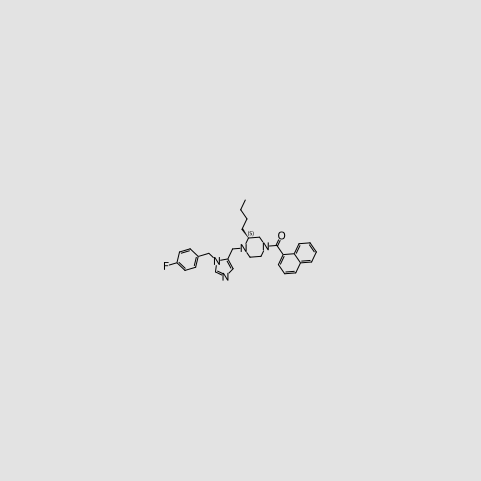 CCCC[C@H]1CN(C(=O)c2cccc3ccccc23)CCN1Cc1cncn1Cc1ccc(F)cc1